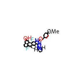 C#Cc1c(F)ccc2cc(O)cc(-c3c(C(C)=O)cc4c(N5C[C@H]6CC[C@@H](C5)N6)nc(OCC56CCC(OC)(CC5)CC6)nc4c3F)c12